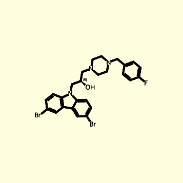 O[C@H](CN1CCN(Cc2ccc(F)cc2)CC1)Cn1c2ccc(Br)cc2c2cc(Br)ccc21